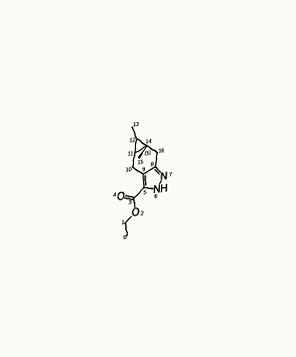 CCOC(=O)c1[nH]nc2c1CC1C(C)[C@]1(C)C2